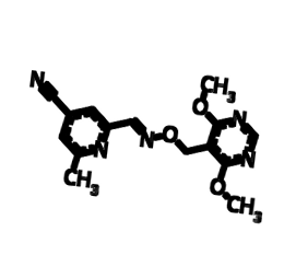 COc1ncnc(OC)c1CON=Cc1cc(C#N)cc(C)n1